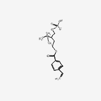 C=Cc1ccc(C(=O)OCCC(COP(=O)([O-])O)[N+](C)(C)C)cc1